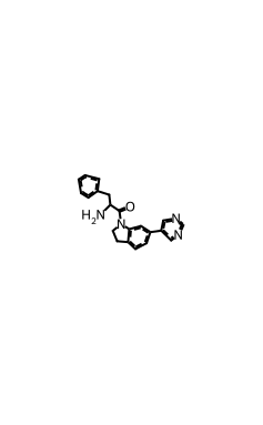 NC(Cc1ccccc1)C(=O)N1CCc2ccc(-c3cncnc3)cc21